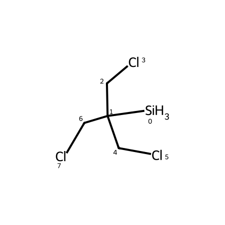 [SiH3]C(CCl)(CCl)CCl